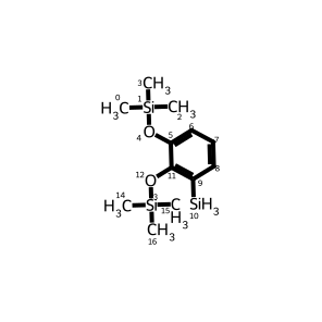 C[Si](C)(C)Oc1cccc([SiH3])c1O[Si](C)(C)C